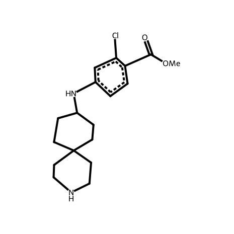 COC(=O)c1ccc(NC2CCC3(CCNCC3)CC2)cc1Cl